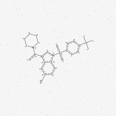 CC(C)(C)c1ccc(S(=O)(=O)n2cc(C(=O)N3CCCCC3)c3cc(Cl)ccc32)cc1